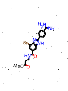 COC(=O)CCNC(=O)c1cc(Br)c2nc(-c3ccc(C(=N)N)cc3)[nH]c2c1